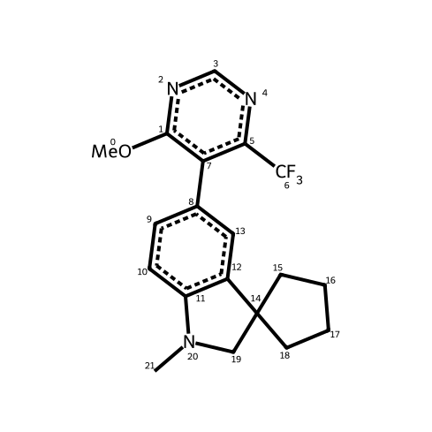 COc1ncnc(C(F)(F)F)c1-c1ccc2c(c1)C1(CCCC1)CN2C